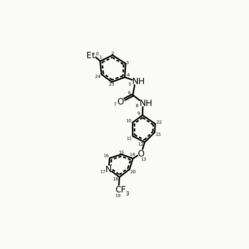 CCc1ccc(NC(=O)Nc2ccc(Oc3ccnc(C(F)(F)F)c3)cc2)cc1